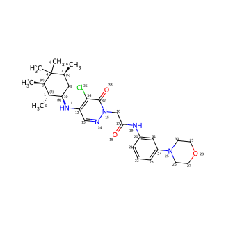 C[C@@H]1[C@@H](C)C(C)(C)[C@@H](C)C[C@H]1Nc1cnn(CC(=O)Nc2cccc(N3CCOCC3)c2)c(=O)c1Cl